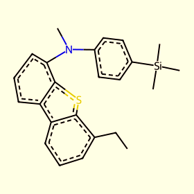 CCc1cccc2c1sc1c(N(C)c3ccc([Si](C)(C)C)cc3)cccc12